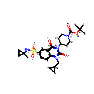 CC1(NS(=O)(=O)c2ccc3c(c2)c(=O)n(C2CCN(C(=O)OC(C)(C)C)CC2)c(=O)n3CC2CC2)CC1